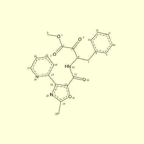 COC(=O)C(=O)C(Cc1ccccc1)NC(=O)c1oc(C)nc1-c1ccccn1